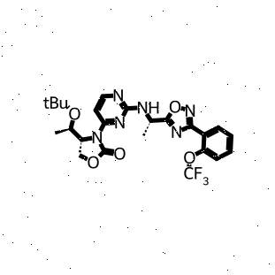 C[C@H](Nc1nccc(N2C(=O)OC[C@@H]2[C@@H](C)OC(C)(C)C)n1)c1nc(-c2ccccc2OC(F)(F)F)no1